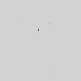 O=C(NC1CCCCC1)[C@H](c1ccccc1Cl)N(C(=O)C1CN(S(=O)(=O)N2CC2)C1)c1cccc(F)c1